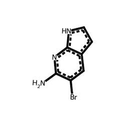 Nc1nc2[nH]ccc2cc1Br